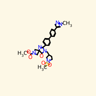 COC(=O)N1CC2(C1)N=C(c1ccc(-c3ccc(-c4cnn(C)c4)cc3)cc1)N(CC1CCN(S(C)(=O)=O)C1)C2=O